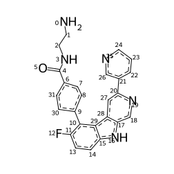 NCCNC(=O)c1ccc(-c2c(F)ccc3[nH]c4cnc(-c5cccnc5)cc4c23)cc1